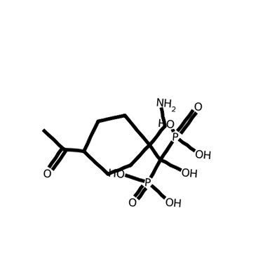 CC(=O)C1CCC(CN)(C(O)(P(=O)(O)O)P(=O)(O)O)CC1